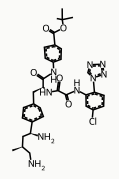 C[C@H](CN)C[C@H](N)c1ccc(C[C@H](NC(=O)C(=O)Nc2cc(Cl)ccc2-n2cnnn2)C(=O)Nc2ccc(C(=O)OC(C)(C)C)cc2)cc1